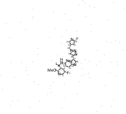 COc1ncc(F)cc1[C@@H](C)Nc1ccc2ncc(-c3cn(Cc4csc(C)c4)nn3)n2n1